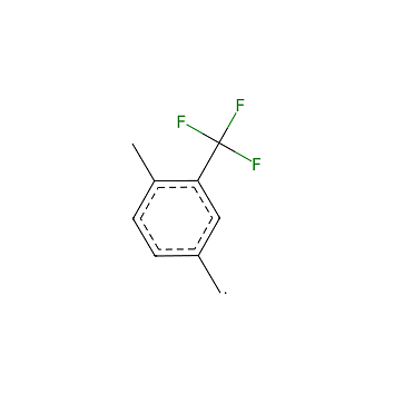 [CH2]c1ccc(C)c(C(F)(F)F)c1